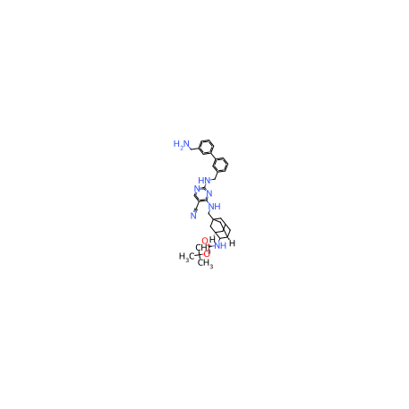 CC(C)(C)OC(=O)NC1[C@@H]2CC3C[C@H]1CC(CNc1nc(NCc4cccc(-c5cccc(CN)c5)c4)ncc1C#N)(C3)C2